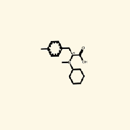 Cc1ccc(C[C@@H](C(=O)O)N(C)C2CCCCC2)cc1